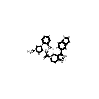 Cc1ccccc1[C@@H]1CN(C)C[C@H]1NC(=O)N1CCc2[nH]nc(-c3ccc4c(c3)CCO4)c2C1